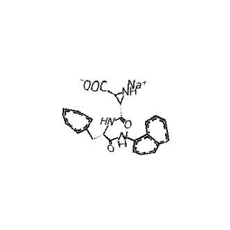 O=C(Nc1cccc2ccccc12)[C@H](Cc1ccccc1)NC(=O)[C@H]1N[C@@H]1C(=O)[O-].[Na+]